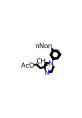 CCCCCCCCCc1cccc(N2C=C(CC(C)OC(C)=O)N=CC2)c1